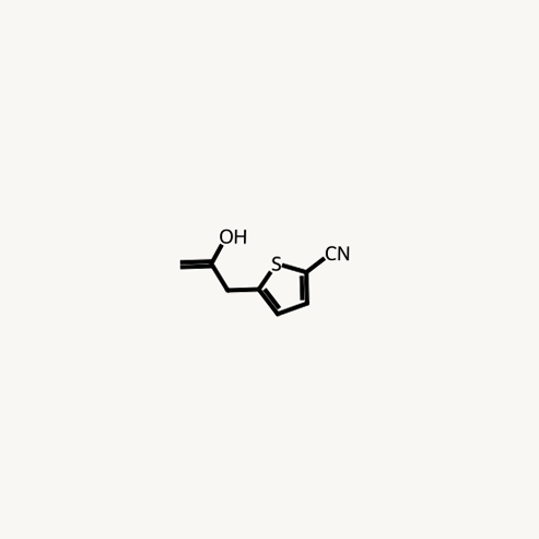 C=C(O)Cc1ccc(C#N)s1